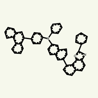 c1ccc(-c2nc3ccc4cccc(-c5ccc6cc(N(c7ccccc7)c7ccc(-c8cc9ccccc9c9ccccc89)cc7)ccc6c5)c4c3o2)cc1